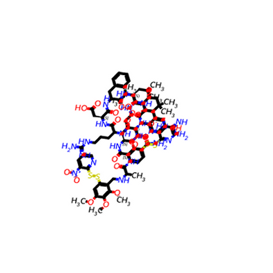 COc1cc(SSc2ncccc2[N+](=O)[O-])c(CNC(C)C(=O)N[C@@H](CCC(N)=O)C(=O)N[C@@H](CCCCNC(CC(C)C)=C2C(=O)CC(C)(C)CC2=O)C(=O)N[C@@H](Cc2ccc(O)cc2)C(=O)NC(CCCNC(=N)N)C(=O)N[C@@H](CC(=O)O)C(=O)NC(Cc2ccccc2)C(=O)N[C@@H](CC(C)C)C(=O)NC(CCCNC(=N)N)C(=O)NCC(=O)Oc2ccccc2SSc2ncccc2[N+](=O)[O-])c(OC)c1OC